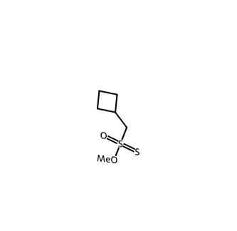 COS(=O)(=S)CC1CCC1